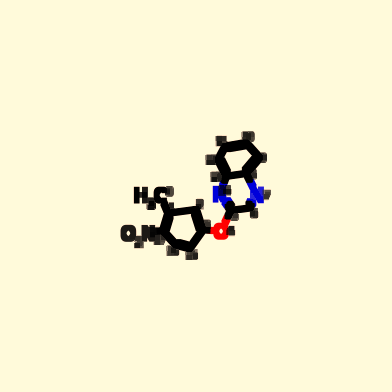 Cc1cc(Oc2cnc3ccccc3n2)ccc1[N+](=O)[O-]